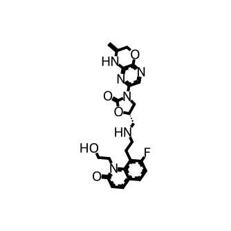 C=C1COc2ncc(N3C[C@H](CNCCc4c(F)ccc5ccc(=O)n(CCO)c45)OC3=O)nc2N1